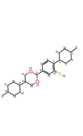 CC1CCC(c2ccc(C3OCC(C4CCC(C)CC4)CO3)cc2F)CC1